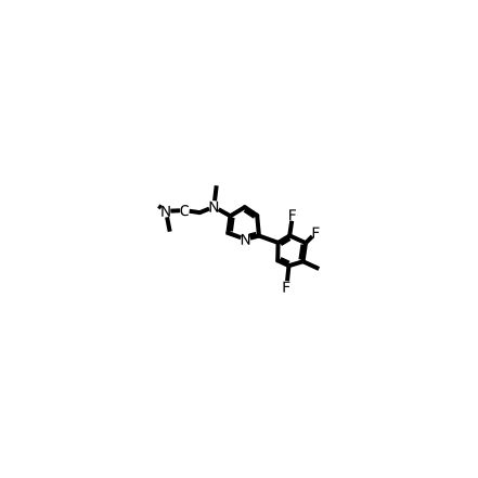 Cc1c(F)cc(-c2ccc(N(C)CCN(C)C)cn2)c(F)c1F